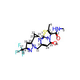 CNC(=O)c1c(C)sc2nc(Cn3nc(C(F)(F)F)cc3C3CC3)cc(=O)n12